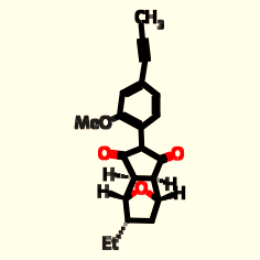 CC#Cc1ccc(C2C(=O)[C@@H]3[C@@H]4O[C@@H](C[C@@H]4CC)[C@@H]3C2=O)c(OC)c1